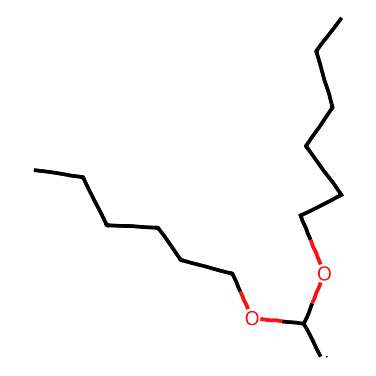 [CH2]C(OCCCCCC)OCCCCCC